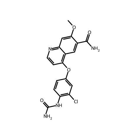 COc1cc2nccc(Oc3ccc(NC(N)=O)c(Cl)c3)c2cc1C(N)=O